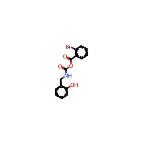 O=C(NCc1ccccc1O)OC(=O)c1ccccc1Br